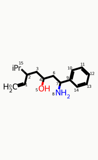 C=CC(CC(O)CC(N)c1ccccc1)C(C)C